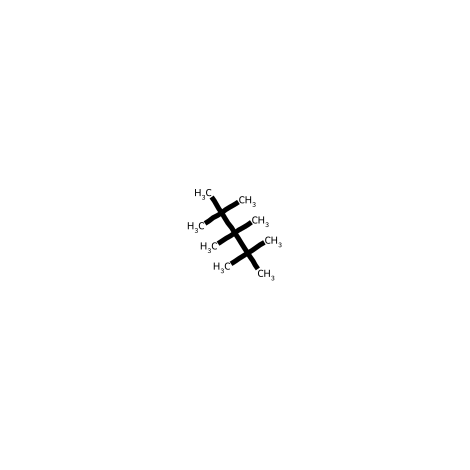 CC(C)(C)C(C)(C)C(C)(C)C